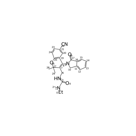 CCN(C)C(=O)NCC1=C(N2Cc3ccccc3C2=O)c2cc(C#N)ccc2OC1(C)C